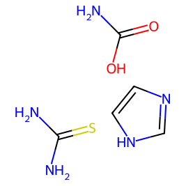 NC(=O)O.NC(N)=S.c1c[nH]cn1